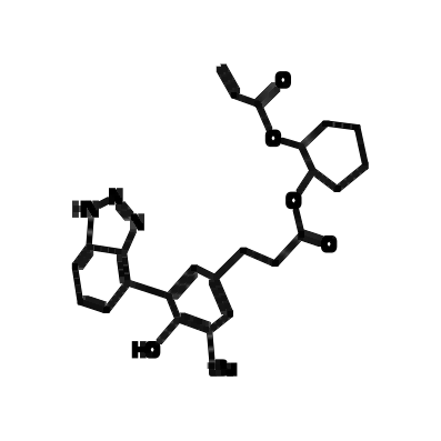 C=CC(=O)OC1CCCCC1OC(=O)CCc1cc(-c2cccc3[nH]nnc23)c(O)c(C(C)(C)C)c1